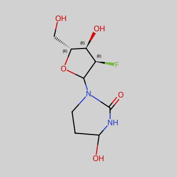 O=C1NC(O)CCN1C1O[C@H](CO)[C@@H](O)[C@H]1F